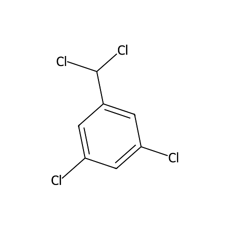 Clc1cc(Cl)cc(C(Cl)Cl)c1